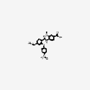 COc1cc(C(=O)O)ccc1NC(=O)c1ccc(N=[N+]=[N-])cc1Sc1ccc([N+](=O)[O-])cc1